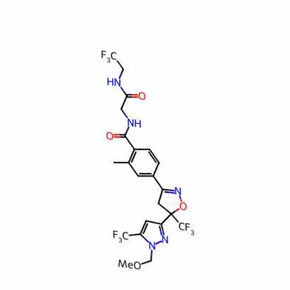 COCn1nc(C2(C(F)(F)F)CC(c3ccc(C(=O)NCC(=O)NCC(F)(F)F)c(C)c3)=NO2)cc1C(F)(F)F